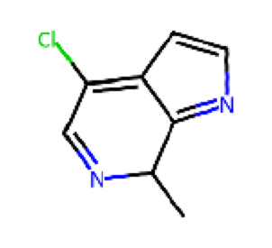 CC1N=CC(Cl)=C2C=CN=C21